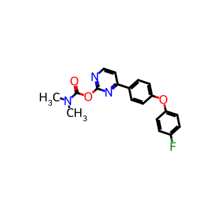 CN(C)C(=O)Oc1nccc(-c2ccc(Oc3ccc(F)cc3)cc2)n1